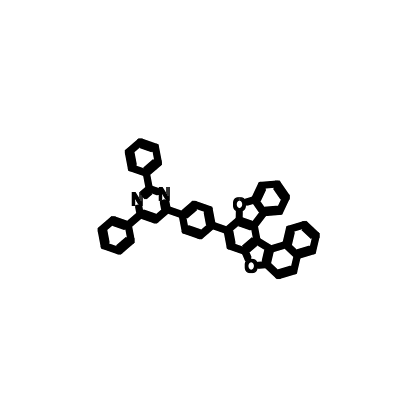 c1ccc(-c2cc(-c3ccc(-c4cc5oc6ccc7ccccc7c6c5c5c4oc4ccccc45)cc3)nc(-c3ccccc3)n2)cc1